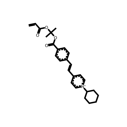 C=CC(=O)OC(C)(C)OC(=O)c1ccc(C=Cc2cc[n+](C3CCCCC3)cc2)cc1